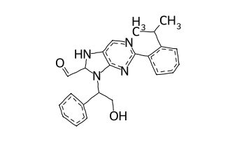 CC(C)c1ccccc1-c1ncc2c(n1)N(C(CO)c1ccccc1)C(C=O)N2